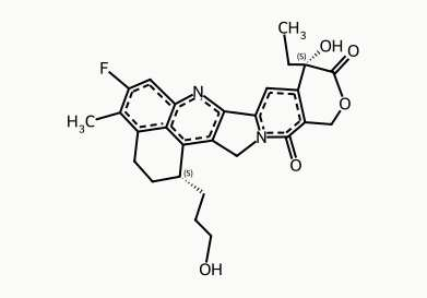 CC[C@@]1(O)C(=O)OCc2c1cc1n(c2=O)Cc2c-1nc1cc(F)c(C)c3c1c2[C@H](CCCO)CC3